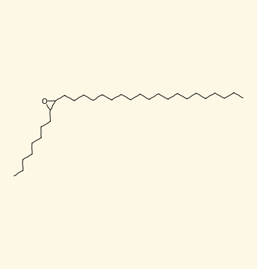 CCCCCCCCCCCCCCCCCCCCC1OC1CCCCCCCC